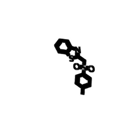 Cc1ccc(S(=O)(=O)Cc2nc3ccccc3s2)cc1